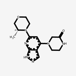 C[C@@H]1COCCN1c1cc(N2CCNC(=O)C2)c2cn[nH]c2n1